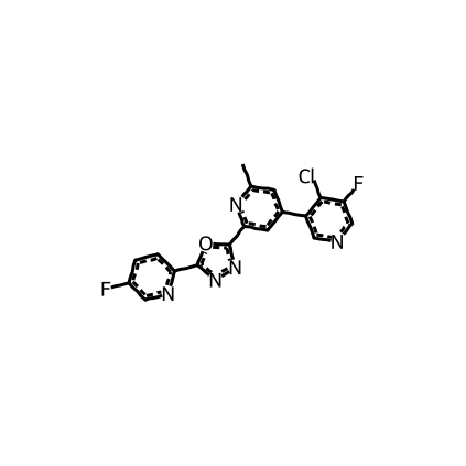 Cc1cc(-c2cncc(F)c2Cl)cc(-c2nnc(-c3ccc(F)cn3)o2)n1